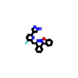 NC(Cc1nc(-c2cn[nH]c2)ccc1F)c1ccccc1-c1noc2ccccc12